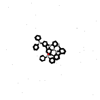 N#Cc1cccc2c3cccc(C#N)c3n(B3c4ccccc4-n4c5ccc(N(c6ccccc6)c6ccccc6)cc5c5cc(N(c6ccccc6)C6C=CC=CC6)cc3c54)c12